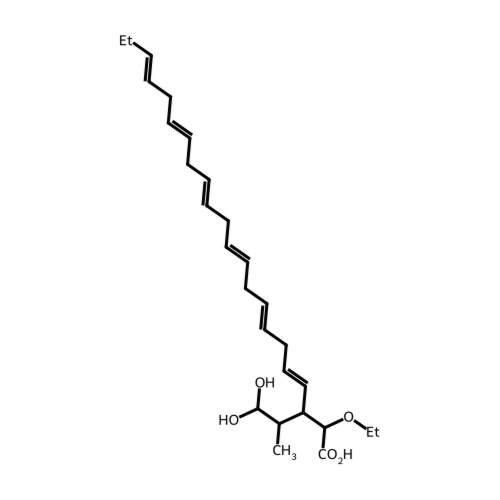 CCC=CCC=CCC=CCC=CCC=CCC=CC(C(OCC)C(=O)O)C(C)C(O)O